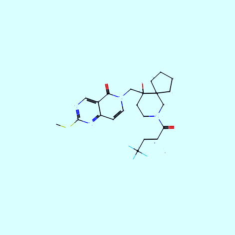 CSc1ncc2c(=O)n(CC3(O)CCN(C(=O)[C@H](C)CC(F)(F)F)CC34CCCC4)ccc2n1